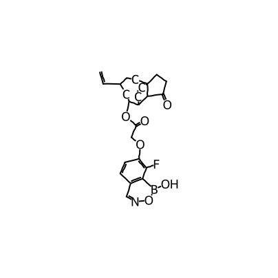 C=CC1CCC23CCCC(C(OC(=O)COc4ccc5c(c4F)B(O)ON=C5)C1)C2C(=O)CC3